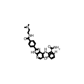 CN(C)CCNC(=O)c1ccc(-c2nc3c(N[C@H]4[C@@H](C(N)=O)[C@@H]5C=C[C@H]4C5)c(Cl)cnc3[nH]2)cc1